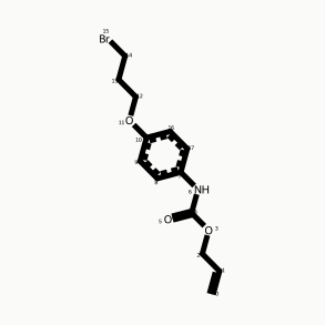 C=CCOC(=O)Nc1ccc(OCCCBr)cc1